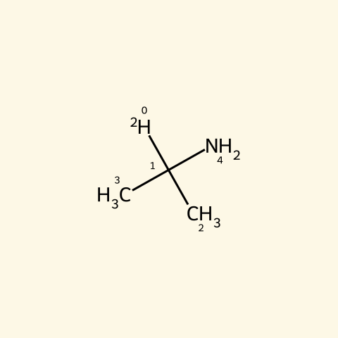 [2H]C(C)(C)N